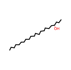 CCCCCCCCCCCCCCCCCC[C@@H](O)CCC